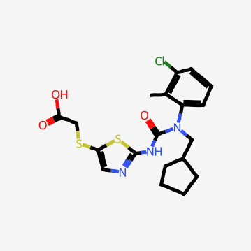 Cc1c(Cl)cccc1N(CC1CCCC1)C(=O)Nc1ncc(SCC(=O)O)s1